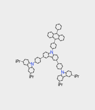 CC(C)c1ccc2c(c1)c1cc(C(C)C)ccc1n2-c1ccc(-c2ccc3c(c2)c2cc(-c4ccc(-n5c6ccc(C(C)C)cc6c6cc(C(C)C)ccc65)cc4)ccc2n3-c2ccc(-c3c4ccccc4c(-c4ccccc4)c4ccccc34)cc2)cc1